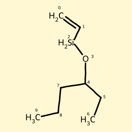 C=C[SiH2]OC(CC)CCC